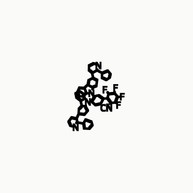 N#Cc1cc(-n2c3ccccc3c3cc(-c4cccnc4-c4ccccc4)ccc32)c(-n2c3ccccc3c3cc(-c4cccnc4-c4ccccc4)ccc32)cc1-c1c(F)c(F)c(F)c(F)c1F